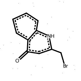 O=c1cc(CBr)[nH]c2ccccc12